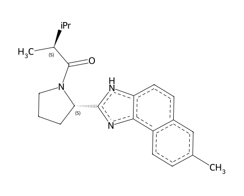 Cc1ccc2c(ccc3[nH]c([C@@H]4CCCN4C(=O)[C@@H](C)C(C)C)nc32)c1